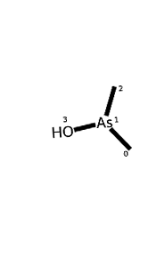 C[As](C)O